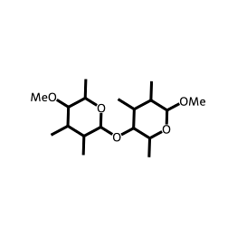 COC1OC(C)C(OC2OC(C)C(OC)C(C)C2C)C(C)C1C